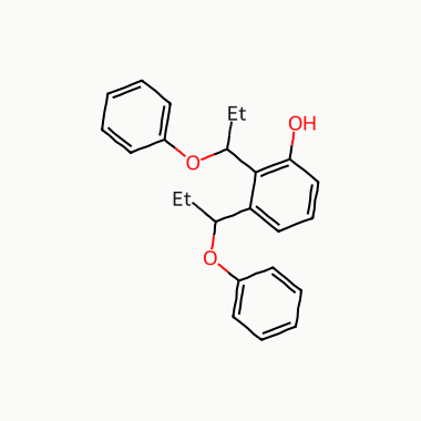 CCC(Oc1ccccc1)c1cccc(O)c1C(CC)Oc1ccccc1